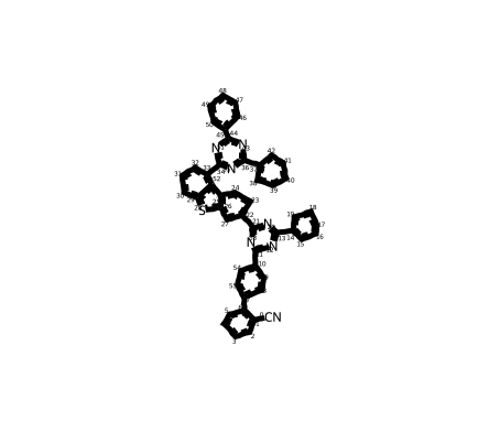 N#Cc1ccccc1-c1ccc(-c2nc(-c3ccccc3)nc(-c3ccc4c(c3)sc3cccc(-c5nc(-c6ccccc6)nc(-c6ccccc6)n5)c34)n2)cc1